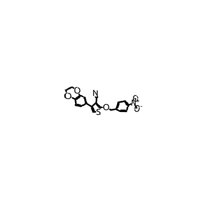 N#Cc1c(-c2ccc3c(c2)OCCO3)csc1OCc1ccc([N+](=O)[O-])cc1